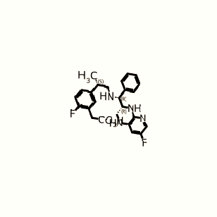 C[C@H](CN[C@H](c1ccccc1)[C@H]1CNc2cc(F)cnc2N1)c1ccc(F)c(CC(=O)O)c1